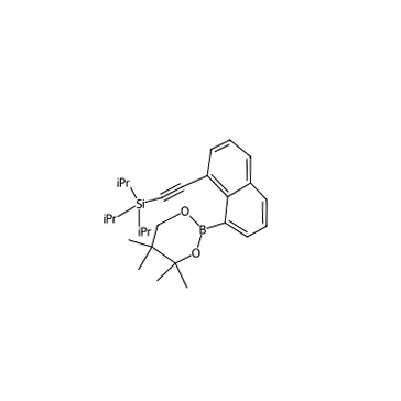 CC(C)[Si](C#Cc1cccc2cccc(B3OCC(C)(C)C(C)(C)O3)c12)(C(C)C)C(C)C